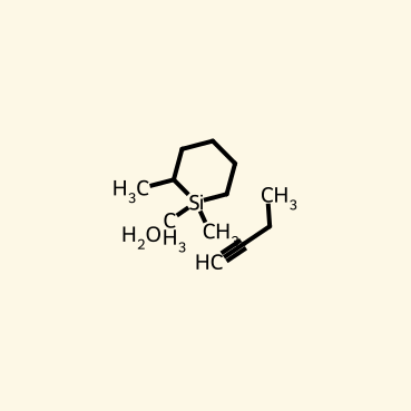 C#CCC.CC1CCCC[Si]1(C)C.O